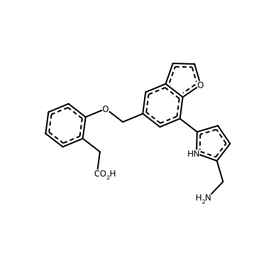 NCc1ccc(-c2cc(COc3ccccc3CC(=O)O)cc3ccoc23)[nH]1